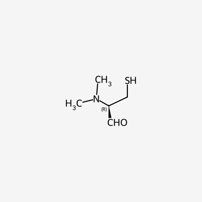 CN(C)[C@H](C=O)CS